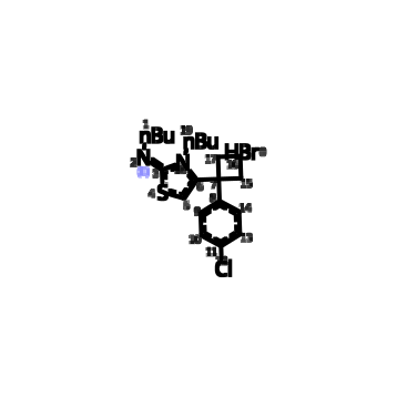 Br.CCCC/N=c1/scc(C2(c3ccc(Cl)cc3)CCC2)n1CCCC